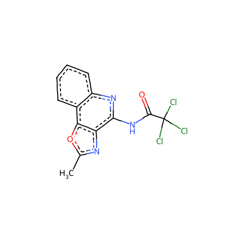 Cc1nc2c(NC(=O)C(Cl)(Cl)Cl)nc3ccccc3c2o1